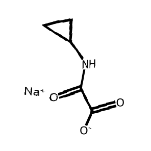 O=C([O-])C(=O)NC1CC1.[Na+]